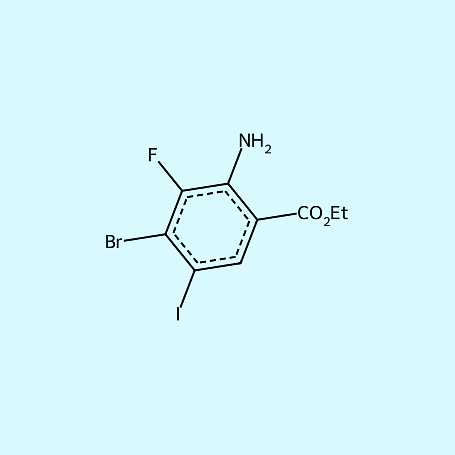 CCOC(=O)c1cc(I)c(Br)c(F)c1N